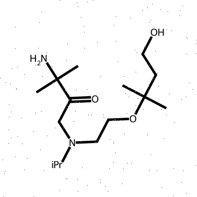 CC(C)N(CCOC(C)(C)CCO)CC(=O)C(C)(C)N